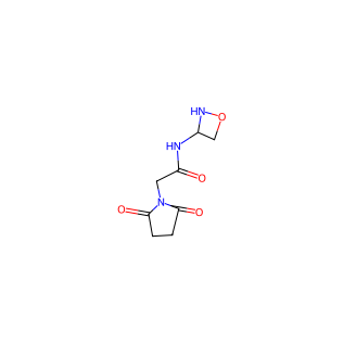 O=C(CN1C(=O)CCC1=O)NC1CON1